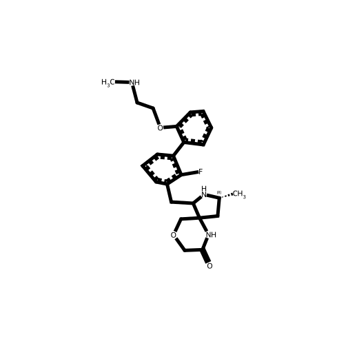 CNCCOc1ccccc1-c1cccc(CC2N[C@H](C)CC23COCC(=O)N3)c1F